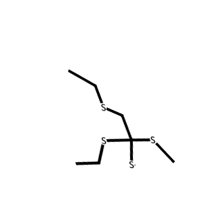 CCSCC([S])(SC)SCC